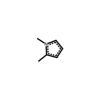 Cc1[c]ccn1C